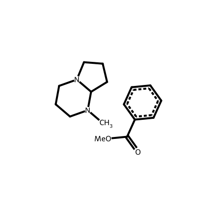 CN1CCCN2CCCC12.COC(=O)c1ccccc1